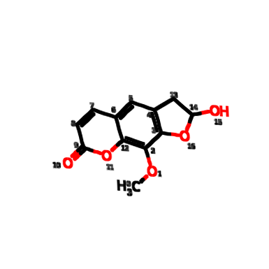 COc1c2c(cc3ccc(=O)oc13)CC(O)O2